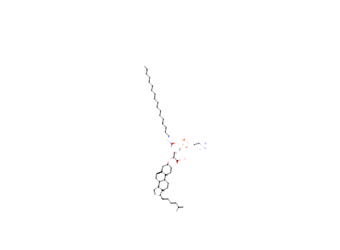 CCCCCCCCCCCCCCCCCCNC(=O)O[C@@H](COP(=O)([O-])OCC[N+](C)(C)C)C(OC1CC[C@@]2(C)C(=CCC3C2CC[C@@]2(C)C3CC[C@@H]2[C@H](C)CCCC(C)C)C1)C(=O)O